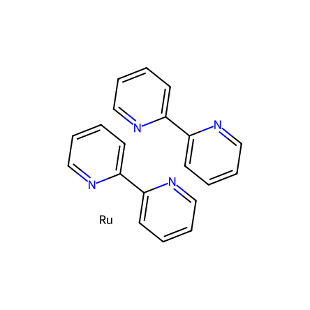 [Ru].c1ccc(-c2ccccn2)nc1.c1ccc(-c2ccccn2)nc1